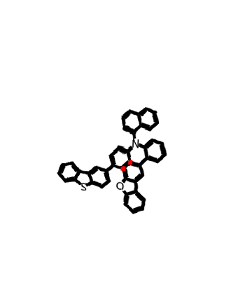 c1ccc(N(c2ccc(-c3ccc4sc5ccccc5c4c3)cc2)c2cccc3ccccc23)c(-c2ccc3oc4ccccc4c3c2)c1